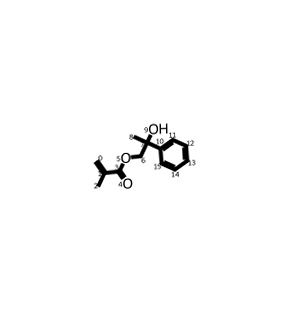 C=C(C)C(=O)OCC(C)(O)c1ccccc1